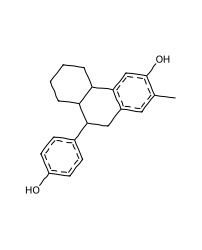 Cc1cc2c(cc1O)C1CCCCC1C(c1ccc(O)cc1)C2